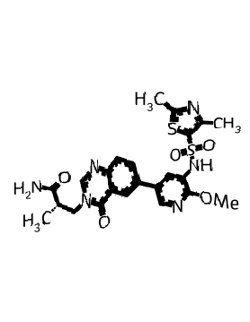 COc1ncc(-c2ccc3ncn(C[C@H](C)C(N)=O)c(=O)c3c2)cc1NS(=O)(=O)c1sc(C)nc1C